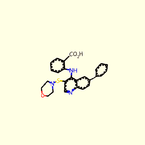 O=C(O)c1ccccc1Nc1c(SN2CCOCC2)cnc2ccc(-c3ccccc3)cc12